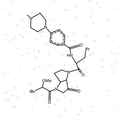 CCC(C)C(OC)C(=O)N1CC(=O)C2C1CCN2C(=O)C(CC(C)C)NC(=O)c1ccc(N2CCN(C)CC2)cc1